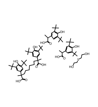 CC(C(=O)O)c1cc(C(C)(C)C)c(O)c(C(C)(C)C)c1.CC(C(=O)O)c1cc(C(C)(C)C)c(O)c(C(C)(C)C)c1.CC(C)(C)c1cc(C(C)(CCCCCCC(C)(C(=O)O)c2cc(C(C)(C)C)c(O)c(C(C)(C)C)c2)C(=O)O)cc(C(C)(C)C)c1O.OCCSCCO